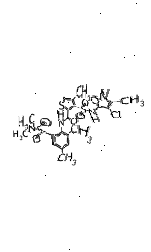 Cc1cc(C)c(NC(=O)c2scc(C)c2S(=O)(=O)Nc2onc(C)c2Cl)c(S(=O)(=O)N(C)C)c1